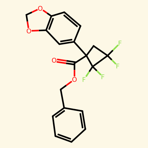 O=C(OCc1ccccc1)C1(c2ccc3c(c2)OCO3)CC(F)(F)C1(F)F